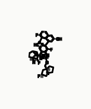 C#Cc1c(F)ccc2cc(O)cc(-c3ncc4c(N5C6CC[C@H]5[C@H](F)[C@@H](N)C6)nc(OC[C@@]56CCCN5C[C@H](F)C6)nc4c3F)c12